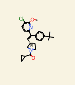 COc1nc(C(=C[C@H]2CCN(C(=O)C3CC3)C2)c2ccc(C(C)(C)C)cc2)ccc1Cl